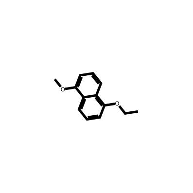 CCOc1cccc2c(OC)cccc12